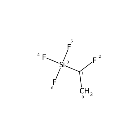 CC(F)[Si](F)(F)F